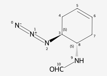 [N-]=[N+]=N[C@H]1CC=CC[C@@H]1NC=O